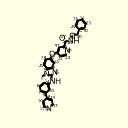 Cn1c(Nc2cccc(-c3ccncc3)c2)nc2cc(Oc3ccnc(C(=O)NOCc4ccccc4)c3)ccc21